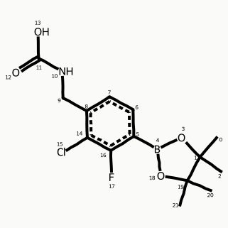 CC1(C)OB(c2ccc(CNC(=O)O)c(Cl)c2F)OC1(C)C